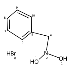 Br.ON(O)Cc1ccccc1